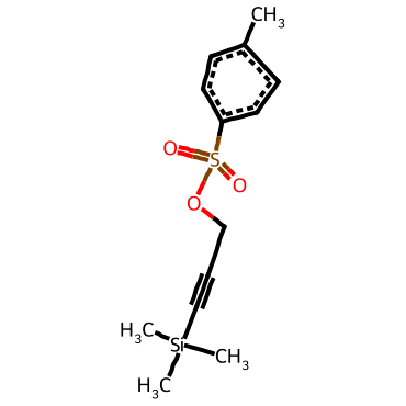 Cc1ccc(S(=O)(=O)OCC#C[Si](C)(C)C)cc1